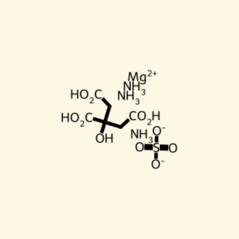 N.N.N.O=C(O)CC(O)(CC(=O)O)C(=O)O.O=S(=O)([O-])[O-].[Mg+2]